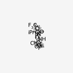 CC(C)c1nn(CC(=O)Nc2cc(Cl)c(=O)n(C(F)F)c2)c(=O)c2ccc(C(F)(F)F)cc12